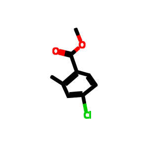 COC(=O)c1ccc(Cl)cc1C